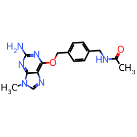 CC(=O)NCc1ccc(COc2nc(N)nc3c2ncn3C)cc1